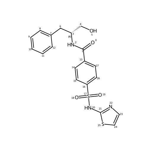 O=C(N[C@@H](CO)Cc1ccccc1)c1ccc(S(=O)(=O)Nc2nccs2)cc1